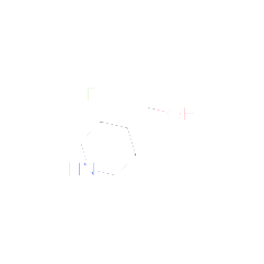 OC[C@@H]1CCNC[C@@H]1F